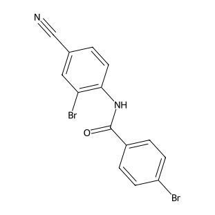 N#Cc1ccc(NC(=O)c2ccc(Br)cc2)c(Br)c1